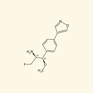 CO[C@H](c1ccc(-c2cnoc2)cc1)[C@H](N)CF